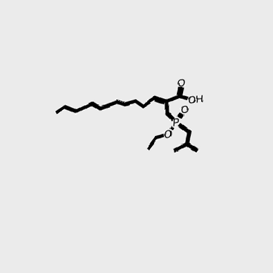 CCCCCCCCCC=C(CP(=O)(CC(C)C)OCC)C(=O)O